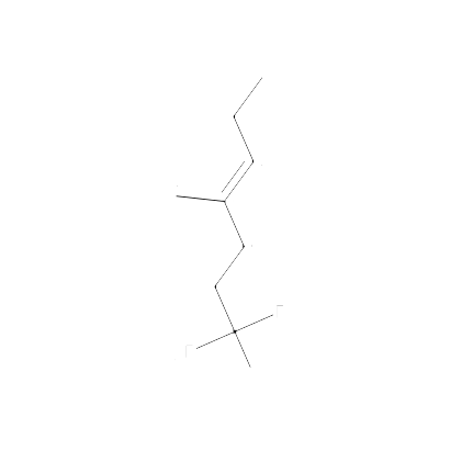 CC/C=C(\C)CCC(F)(F)F